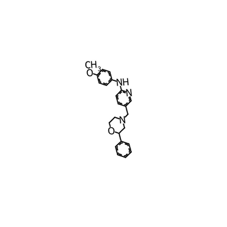 COc1ccc(Nc2ccc(CN3CCOC(c4ccccc4)C3)cn2)cc1